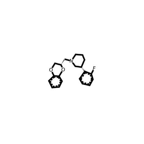 Fc1ccccc1[C@H]1CCCN(C[C@H]2COc3ccccc3O2)C1